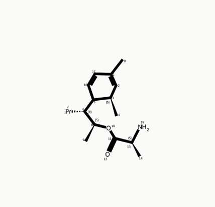 CC1=C[C@@H](C)C([C@@H](C(C)C)[C@H](C)OC(=O)[C@H](C)N)C=C1